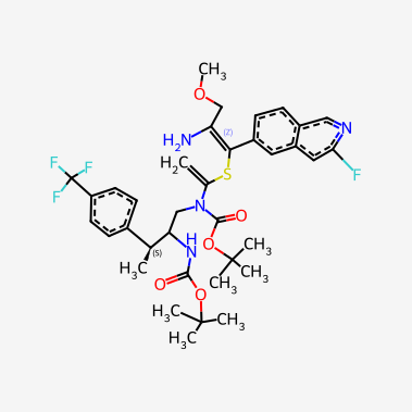 C=C(S/C(=C(\N)COC)c1ccc2cnc(F)cc2c1)N(CC(NC(=O)OC(C)(C)C)[C@@H](C)c1ccc(C(F)(F)F)cc1)C(=O)OC(C)(C)C